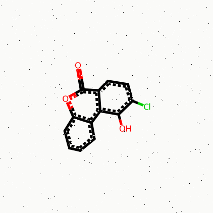 O=c1oc2ccccc2c2c(O)c(Cl)ccc12